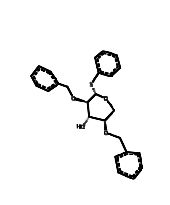 O[C@@H]1[C@@H](OCc2ccccc2)[C@H](Sc2ccccc2)OC[C@H]1OCc1ccccc1